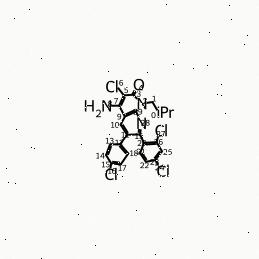 CC(C)Cn1c(=O)c(Cl)c(N)c2cc(-c3ccc(Cl)cc3)c(-c3ccc(Cl)cc3Cl)nc21